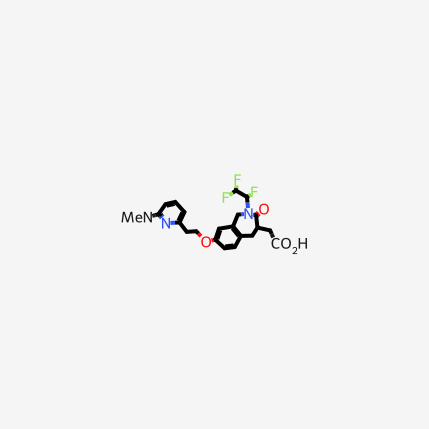 CNc1cccc(CCOc2ccc3c(c2)CN(C(F)C(F)F)C(=O)C(CC(=O)O)C3)n1